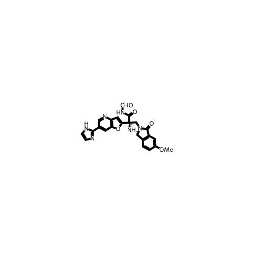 COc1ccc2c(c1)C(=O)N(C[C@@](N)(C(=O)NC=O)c1cc3ncc(-c4ncc[nH]4)cc3o1)C2